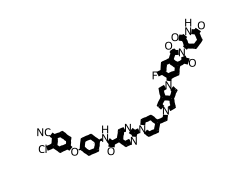 N#Cc1ccc(O[C@H]2CC[C@H](NC(=O)c3cnc(N4CCC(CN5CC6CN(c7cc8c(cc7F)C(=O)N(C7CCC(=O)NC7=O)C8=O)CC6C5)CC4)nc3)CC2)cc1Cl